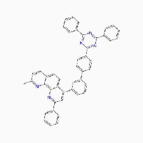 Cc1ccc2ccc3c(-c4cccc(-c5ccc(-c6nc(-c7ccccc7)nc(-c7ccccc7)n6)cc5)c4)cc(-c4ccccc4)nc3c2n1